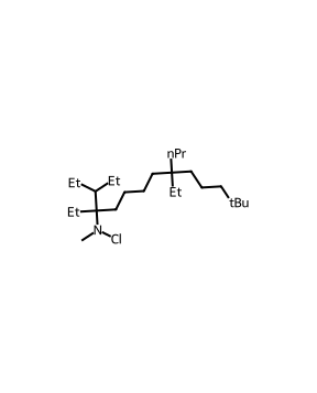 CCCC(CC)(CCCCC(CC)(C(CC)CC)N(C)Cl)CCCC(C)(C)C